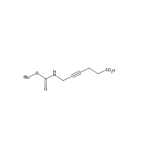 CC(C)(C)OC(=O)NCC#CCCS(=O)(=O)O